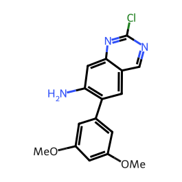 COc1cc(OC)cc(-c2cc3cnc(Cl)nc3cc2N)c1